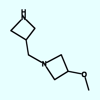 COC1CN(CC2CNC2)C1